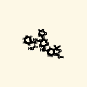 COB1OC(C)(C)c2cc(Nc3ncc(-c4ncno4)c(N[C@H](CO)c4ccccc4)n3)ccc21